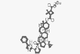 CCCCOC(=O)C1CC(C(=O)O[C@H]2CC[C@]3(C)[C@H]4CC[C@@H]5[C@H]6[C@H](C7(C)CC7)CC[C@]6(C(=O)N6CCC[C@H]6c6ncc(-c7ccccc7)[nH]6)CC[C@@]5(C)[C@]4(C)CC[C@H]3C2(C)C)C1(C)C